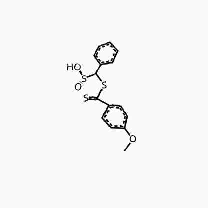 COc1ccc(C(=S)SC(c2ccccc2)S(=O)O)cc1